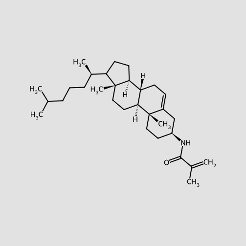 C=C(C)C(=O)N[C@H]1CC[C@@]2(C)C(=CC[C@@H]3[C@@H]2CC[C@]2(C)C([C@H](C)CCCC(C)C)CC[C@@H]32)C1